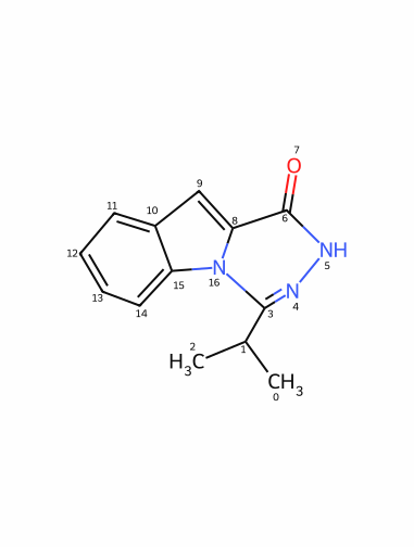 CC(C)c1n[nH]c(=O)c2cc3ccccc3n12